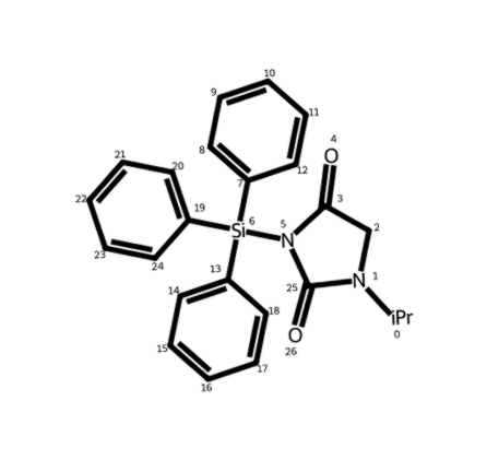 CC(C)N1CC(=O)N([Si](c2ccccc2)(c2ccccc2)c2ccccc2)C1=O